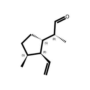 C=C[C@@H]1[C@@H]([C@@H](C)C=O)CC[C@@H]1C